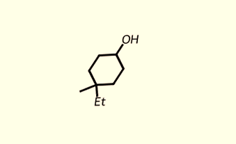 CCC1(C)CCC(O)CC1